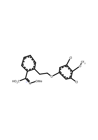 CO/N=C(/C(=O)O)c1ccccc1CCOc1cc(Cl)c(OC(F)(F)F)c(Cl)c1